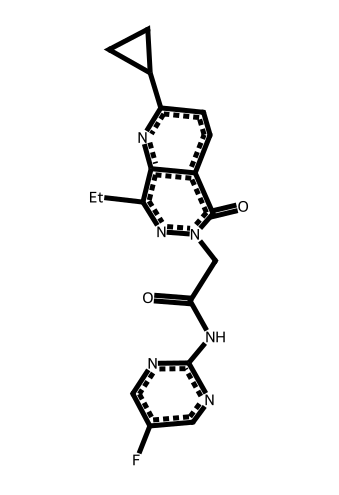 CCc1nn(CC(=O)Nc2ncc(F)cn2)c(=O)c2ccc(C3CC3)nc12